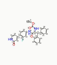 CC(C)(C)OC(=O)N[C@H](C(=O)Nc1ccc(-c2cc[nH]c(=O)c2)c(F)c1)C(c1ccccc1)c1ccccc1